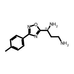 Cc1ccc(-c2noc([C@@H](N)CCN)n2)cc1